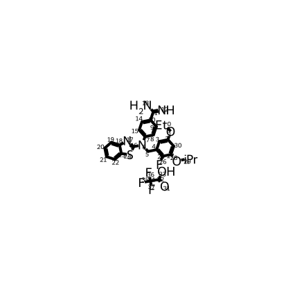 CCOc1cc(CN(c2ccc(C(=N)N)cc2)c2nc3ccccc3s2)c(F)c(OC(C)C)c1.O=C(O)C(F)(F)F